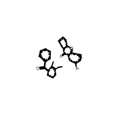 CC(C)c1ccc2sc3ccccc3c(=O)c2c1.Cc1cccc(C(=O)c2ccccc2)c1C